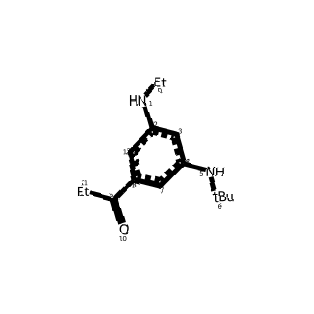 CCNc1cc(NC(C)(C)C)cc(C(=O)CC)c1